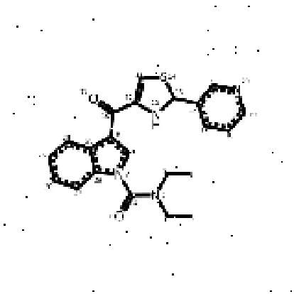 CCN(CC)C(=O)n1cc(C(=O)C2=CSC(c3cccnc3)N2)c2ccccc21